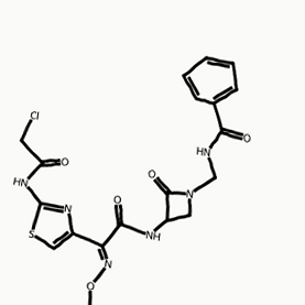 CON=C(C(=O)NC1CN(CNC(=O)c2ccccc2)C1=O)c1csc(NC(=O)CCl)n1